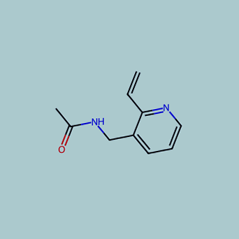 C=Cc1ncccc1CNC(C)=O